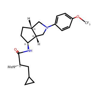 CN[C@@H](CC1CC1)C(=O)N[C@H]1CC[C@@H]2CN(c3ccc(OC(F)(F)F)cc3)C[C@@H]21